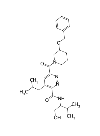 CC(C)Cc1cc(C(=O)N2CCCC(OCc3ccccc3)C2)nnc1C(=O)NC(CO)C(C)C